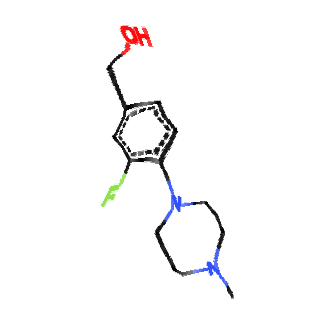 CN1CCN(c2ccc(CO)cc2F)CC1